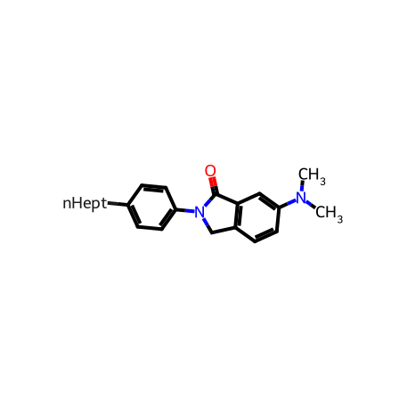 CCCCCCCc1ccc(N2Cc3ccc(N(C)C)cc3C2=O)cc1